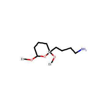 CCOC1CCC[Si](CCCCN)(OCC)O1